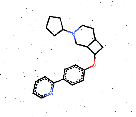 c1ccc(-c2ccc(OC3CC4CCN(C5CCCC5)CC43)cc2)nc1